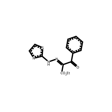 CCOC(=O)C(=NNc1nccs1)C(=O)c1ccccc1